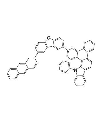 c1ccc(-n2c3ccccc3c3ccc4c5ccccc5c5cc(-c6ccc7oc8ccc(-c9ccc%10cc%11ccccc%11cc%10c9)cc8c7c6)ccc5c4c32)cc1